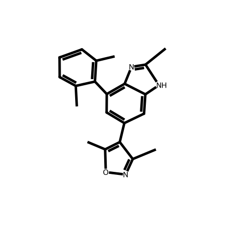 Cc1nc2c(-c3c(C)cccc3C)cc(-c3c(C)noc3C)cc2[nH]1